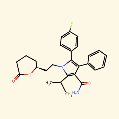 CC(C)c1c(C(N)=O)c(-c2ccccc2)c(-c2ccc(F)cc2)n1CC[C@@H]1CCCC(=O)O1